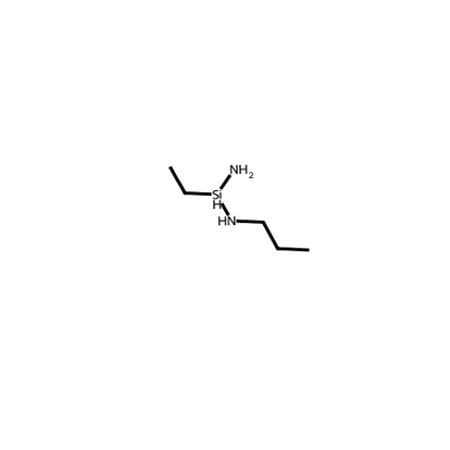 CCCN[SiH](N)CC